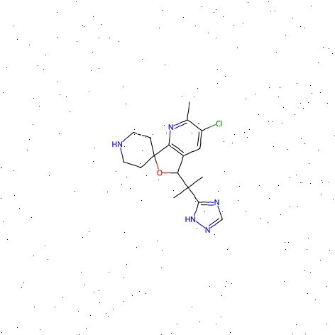 Cc1nc2c(cc1Cl)C(C(C)(C)c1ncn[nH]1)OC21CCNCC1